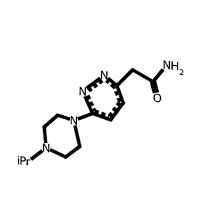 CC(C)N1CCN(c2ccc(CC(N)=O)nn2)CC1